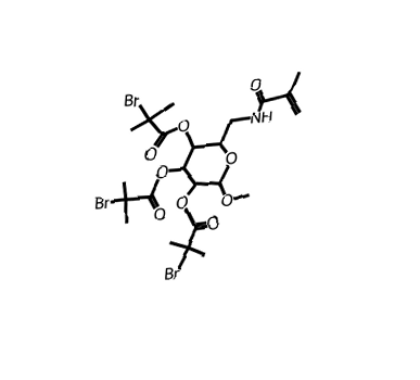 C=C(C)C(=O)NCC1OC(OC)C(OC(=O)C(C)(C)Br)C(OC(=O)C(C)(C)Br)C1OC(=O)C(C)(C)Br